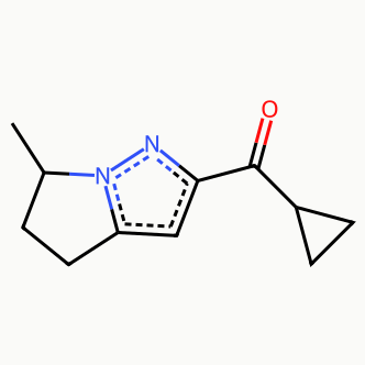 CC1CCc2cc(C(=O)C3CC3)nn21